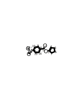 O=C(OC1=CCCC1)c1ccc([N+](=O)[O-])cc1